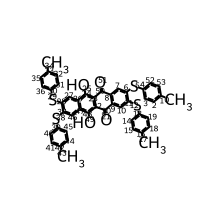 Cc1ccc(Sc2cc3c(cc2Sc2ccc(C)cc2)C(=O)c2c(c(O)c4cc(Sc5ccc(C)cc5)c(Sc5ccc(C)cc5)cc4c2O)C3=O)cc1